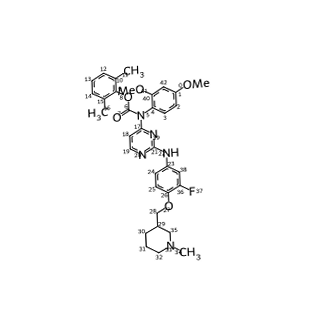 COc1ccc(N(C(=O)Oc2c(C)cccc2C)c2ccnc(Nc3ccc(OCC4CCCN(C)C4)c(F)c3)n2)c(OC)c1